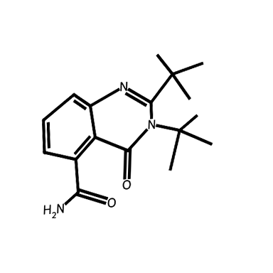 CC(C)(C)c1nc2cccc(C(N)=O)c2c(=O)n1C(C)(C)C